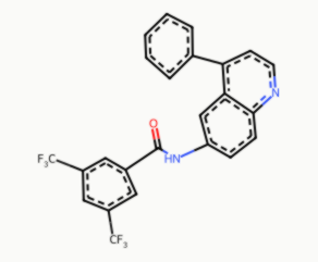 O=C(Nc1ccc2nccc(-c3ccccc3)c2c1)c1cc(C(F)(F)F)cc(C(F)(F)F)c1